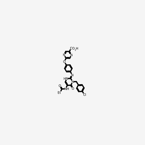 CCC(=O)Nc1c[nH]/c(=N\c2ccc(Oc3cnc(C(=O)O)cn3)cc2)n(Cc2ccc(Cl)cc2)c1=O